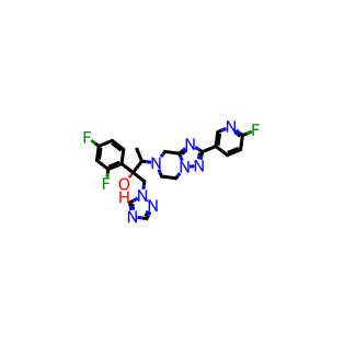 CC(N1CCn2nc(-c3ccc(F)nc3)nc2C1)[C@](O)(Cn1cncn1)c1ccc(F)cc1F